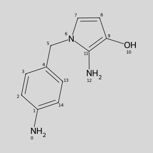 Nc1ccc(Cn2ccc(O)c2N)cc1